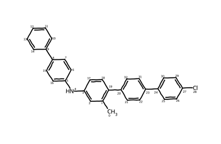 Cc1cc(Nc2ccc(-c3ccccc3)cc2)ccc1-c1ccc(-c2ccc(Cl)cc2)cc1